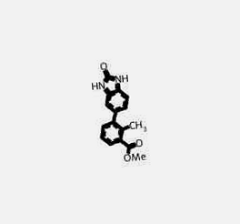 COC(=O)c1cccc(-c2ccc3[nH]c(=O)[nH]c3c2)c1C